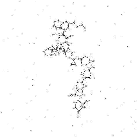 CCc1cccc2cc(OCOC)cc(-c3ncc4c(N5CC6CCC(C5)N6C(=O)OC(C)(C)C)nc(OCC5(CN6CCC(C)(CN7CCN(c8ccc9c(c8)CN([C@H]8CCC(=O)NC8=O)C9=O)CC7)CC6)CC5)nc4c3F)c12